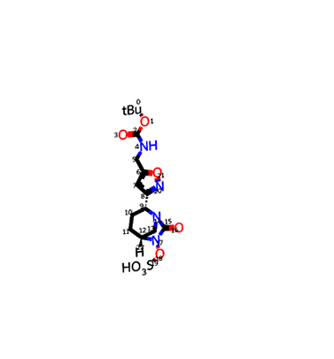 CC(C)(C)OC(=O)NCc1cc([C@H]2CC[C@@H]3CN2C(=O)N3OS(=O)(=O)O)no1